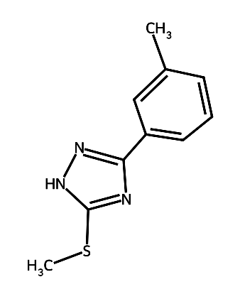 CSc1nc(-c2cccc(C)c2)n[nH]1